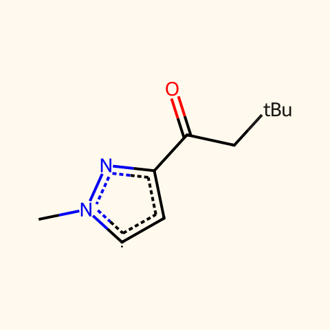 Cn1[c]cc(C(=O)CC(C)(C)C)n1